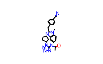 CC(=O)N(c1ccc2c(c1)nc(Cc1ccc(C#N)cc1)n2C)c1nnnn1C1CCCC1